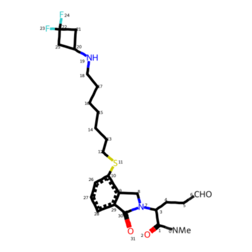 CNC(=O)C(CCC=O)N1Cc2c(SCCCCCCCNC3CC(F)(F)C3)cccc2C1=O